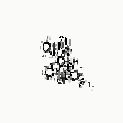 COc1ccc(S(=O)(=O)c2c(N)c(C(=O)NO)c(OCc3ccccc3)c(Cc3ccccc3)c2C(=O)NO)cc1